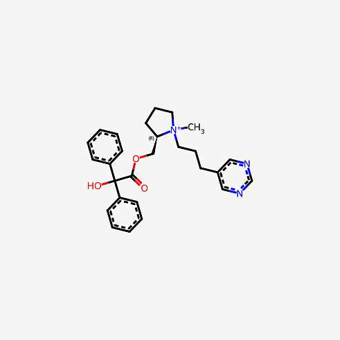 C[N+]1(CCCc2cncnc2)CCC[C@@H]1COC(=O)C(O)(c1ccccc1)c1ccccc1